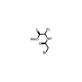 CCC(NC(=O)CBr)C(=S)OC